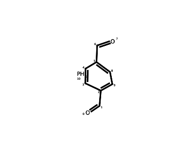 O=Cc1ccc(C=O)cc1.P